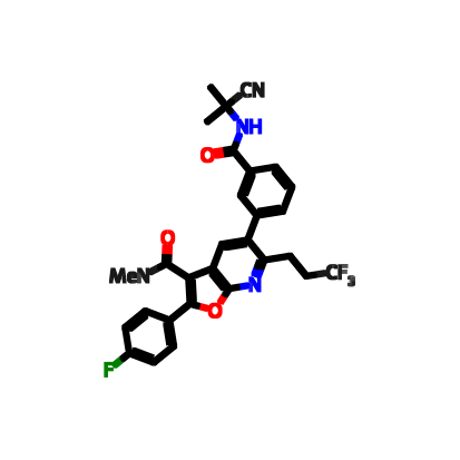 CNC(=O)c1c(-c2ccc(F)cc2)oc2nc(CCC(F)(F)F)c(-c3cccc(C(=O)NC(C)(C)C#N)c3)cc12